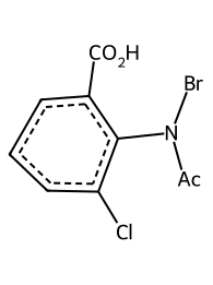 CC(=O)N(Br)c1c(Cl)cccc1C(=O)O